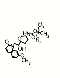 COc1ccc2ccc(=O)n(CC(O)C3CCC(NC(=O)OC(C)(C)C)CO3)c2c1